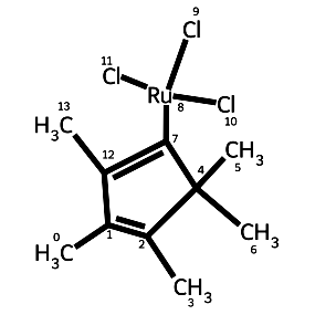 CC1=C(C)C(C)(C)[C]([Ru]([Cl])([Cl])[Cl])=C1C